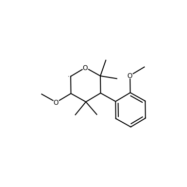 COc1ccccc1C1C(C)(C)O[CH]C(OC)C1(C)C